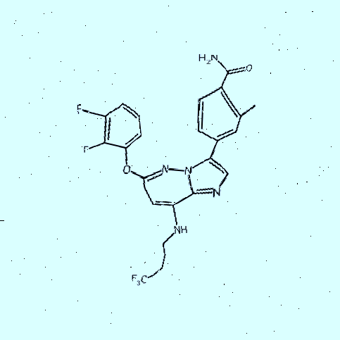 Cc1cc(-c2cnc3c(NCCC(F)(F)F)cc(Oc4cccc(F)c4F)nn23)ccc1C(N)=O